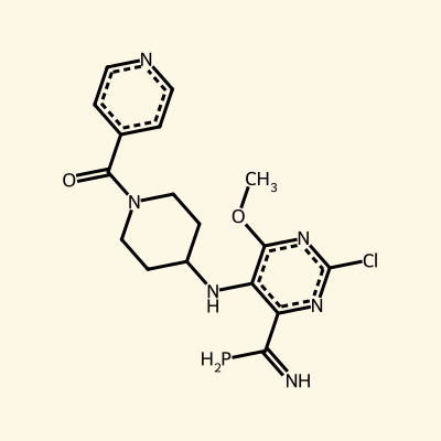 COc1nc(Cl)nc(C(=N)P)c1NC1CCN(C(=O)c2ccncc2)CC1